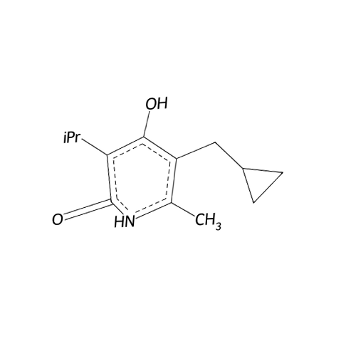 Cc1[nH]c(=O)c(C(C)C)c(O)c1CC1CC1